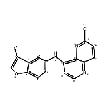 Cc1[c]oc2ccc(Nc3ncnc4ccc(Cl)nc34)cc12